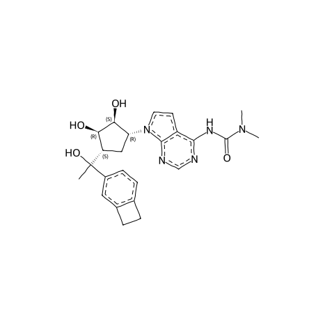 CN(C)C(=O)Nc1ncnc2c1ccn2[C@@H]1C[C@H](C(C)(O)c2ccc3c(c2)CC3)[C@@H](O)[C@H]1O